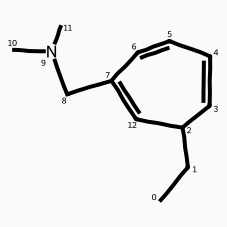 CCC1C=CC=CC(CN(C)C)=C1